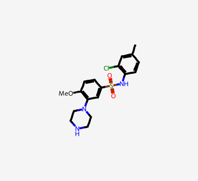 COc1ccc(S(=O)(=O)Nc2ccc(C)cc2Cl)cc1N1CCNCC1